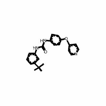 CC(C)(C)c1cccc(NC(=O)Nc2ccc(Oc3ccncc3)cc2)c1